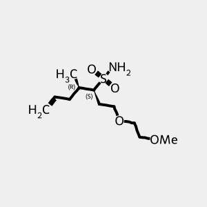 C=CC[C@@H](C)[C@H](CCOCCOC)S(N)(=O)=O